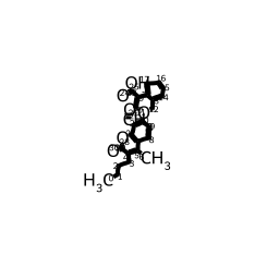 CCCCc1c(C)c2ccc(OCc3ccccc3C(=COC)C(=O)O)cc2oc1=O